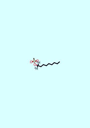 [2H]C([2H])(CCCCCCCC)OS(C)(=O)=O